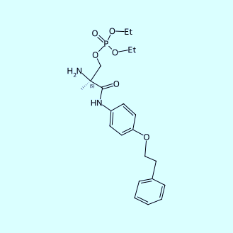 CCOP(=O)(OCC)OC[C@](C)(N)C(=O)Nc1ccc(OCCc2ccccc2)cc1